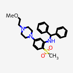 COCCN1CCN(c2ccc(S(C)(=O)=O)c(NC(c3ccccc3)c3ccccc3)c2)CC1